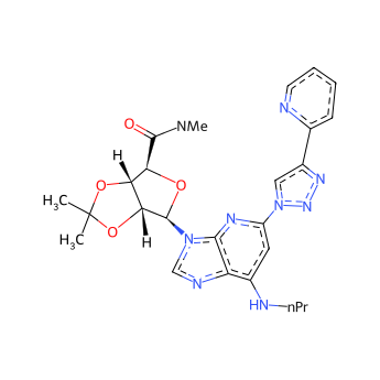 CCCNc1cc(-n2cc(-c3ccccn3)nn2)nc2c1ncn2[C@@H]1O[C@H](C(=O)NC)[C@H]2OC(C)(C)O[C@H]21